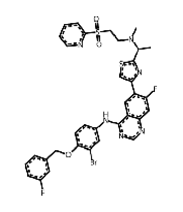 CC(c1nc(-c2cc3c(Nc4ccc(OCc5cccc(F)c5)c(Br)c4)ncnc3cc2F)cs1)N(C)CCS(=O)(=O)c1ccccn1